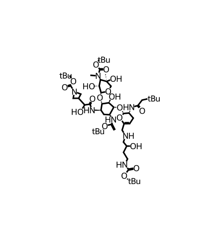 C=C(N[C@H]1C[C@@H](NC(=O)C(O)C2CN(C(=O)OC(C)(C)C)C2)[C@H](O[C@H]2OC[C@](C)(O)[C@H](N(C)C(=O)OC(C)(C)C)[C@H]2O)[C@@H](O)[C@@H]1O[C@H]1OC(CNCC(O)CCNC(=O)OC(C)(C)C)=CC[C@H]1NC(=O)CC(C)(C)C)OC(C)(C)C